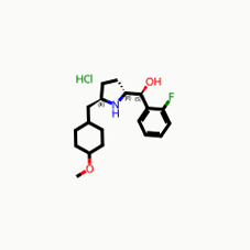 COC1CCC(C[C@H]2CC[C@H]([C@@H](O)c3ccccc3F)N2)CC1.Cl